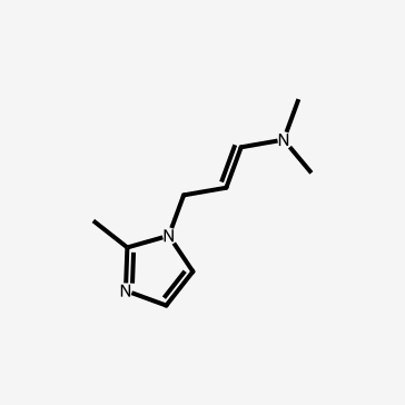 Cc1nccn1CC=CN(C)C